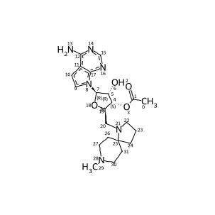 CC(=O)O[C@H]1[C@@H](O)[C@H](n2ccc3c(N)ncnc32)O[C@@H]1CN1CCCC12CCN(C)CC2